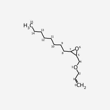 C=CCOCC1OC1CCCCCCCC